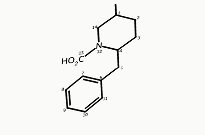 CC1CCC(Cc2ccccc2)N(C(=O)O)C1